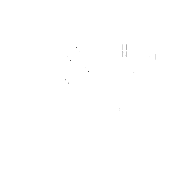 O=C(O)NCCc1nnc(N2CCC(c3ccccc3)CC2)n1-c1ccc(Cl)cc1CO